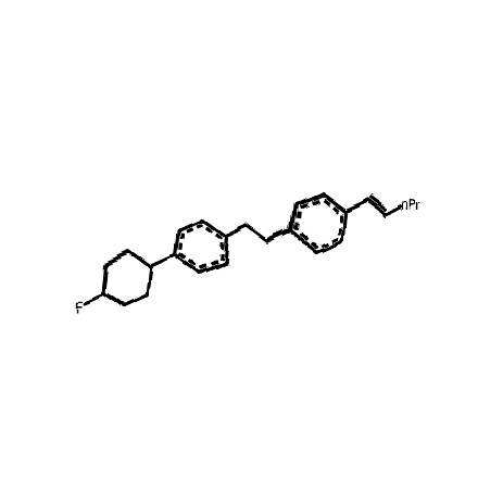 CCCC=Cc1ccc(CCc2ccc(C3CCC(F)CC3)cc2)cc1